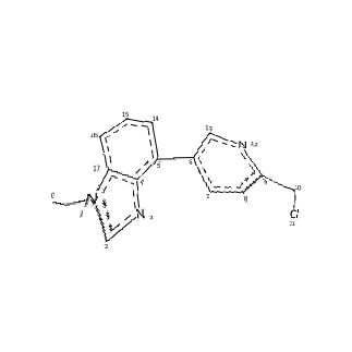 Cn1cnc2c(-c3ccc(CCl)nc3)cccc21